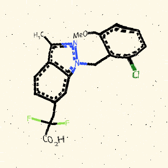 COc1cccc(Cl)c1Cn1nc(C)c2ccc(C(F)(F)C(=O)O)cc21